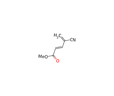 C=C(C#N)/C=C/C(=O)OC